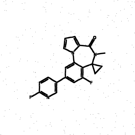 CN1C(=O)c2cccn2-c2cc(-c3ccc(F)nc3)cc(F)c2C12CC2